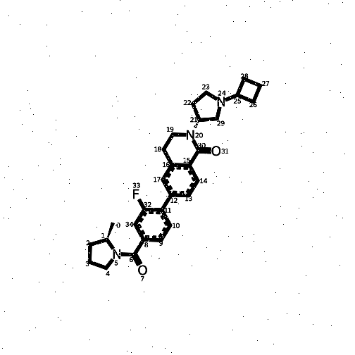 C[C@@H]1CCCN1C(=O)c1ccc(-c2ccc3c(c2)CCN([C@@H]2CCN(C4CCC4)C2)C3=O)c(F)c1